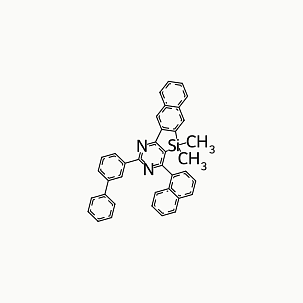 C[Si]1(C)c2cc3ccccc3cc2-c2nc(-c3cccc(-c4ccccc4)c3)nc(-c3cccc4ccccc34)c21